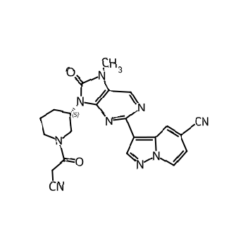 Cn1c(=O)n([C@H]2CCCN(C(=O)CC#N)C2)c2nc(-c3cnn4ccc(C#N)cc34)ncc21